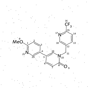 COc1ccc(-c2ccc(=O)n(Cc3ccc(C(F)(F)F)nc3)c2)cn1